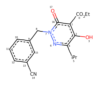 CCOC(=O)c1c(O)c(C(C)C)nn(Cc2cccc(C#N)c2)c1=O